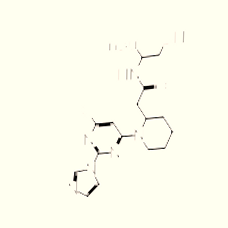 CCCCC(CO)NC(=O)CC1CCCCN1c1cc(C)nc(-n2ccnc2)n1